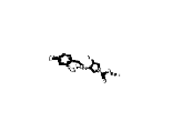 CC(C)(C)OC(=O)N1CC(F)C(NCc2ccc(Cl)cc2Cl)C1